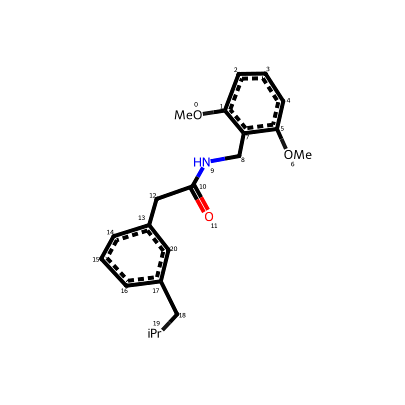 COc1cccc(OC)c1CNC(=O)Cc1cccc(CC(C)C)c1